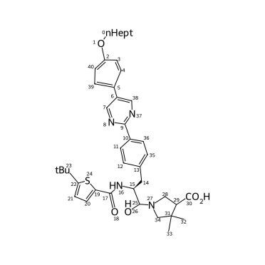 CCCCCCCOc1ccc(-c2cnc(-c3ccc(C[C@H](NC(=O)c4ccc(C(C)(C)C)s4)C(O)N4CC(C(=O)O)C(C)(C)C4)cc3)nc2)cc1